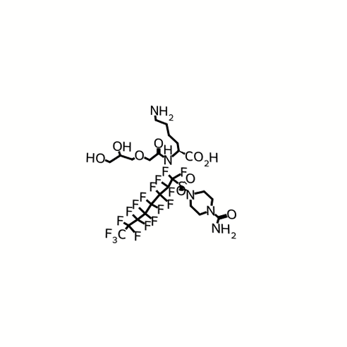 NC(=O)N1CCN(S(=O)(=O)C(F)(F)C(F)(F)C(F)(F)C(F)(F)C(F)(F)C(F)(F)C(F)(F)C(F)(F)F)CC1.NCCCC[C@H](NC(=O)COCC(O)CO)C(=O)O